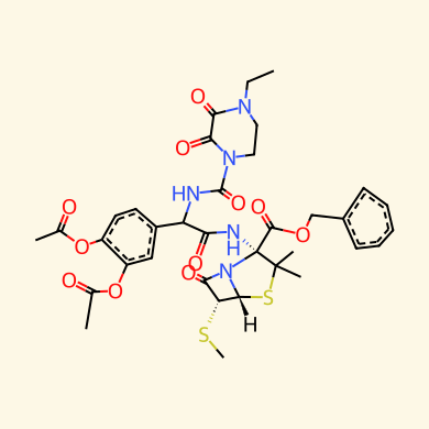 CCN1CCN(C(=O)NC(C(=O)N[C@@]2(C(=O)OCc3ccccc3)N3C(=O)[C@@H](SC)[C@H]3SC2(C)C)c2ccc(OC(C)=O)c(OC(C)=O)c2)C(=O)C1=O